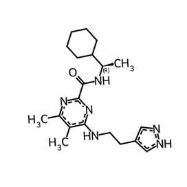 Cc1nc(C(=O)N[C@H](C)C2CCCCC2)nc(NCCc2cn[nH]c2)c1C